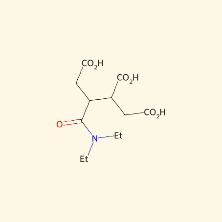 CCN(CC)C(=O)C(CC(=O)O)C(CC(=O)O)C(=O)O